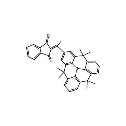 CC(=C1C(=O)c2ccccc2C1=O)c1cc2c3c(c1)C(C)(C)c1cccc4c1N3c1c(cccc1C2(C)C)C4(C)C